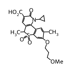 COCCCOc1cc2c(cc1C)-c1c(cc(C(=O)O)c(=O)n1C1CC1)C(C)S2(=O)=O